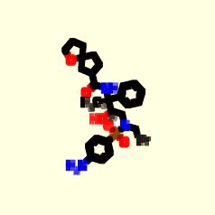 CC(C)CN(C[C@@H](O)[C@@](C)(NC(=O)C1CCC2(CCCO2)C1)c1ccccc1)S(=O)(=O)c1ccc(N)cc1